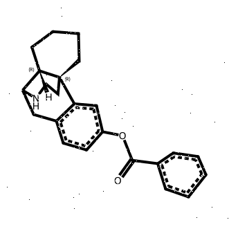 O=C(Oc1ccc2c(c1)[C@@]13CCCC[C@H]1C(C2)NCC3)c1ccccc1